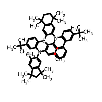 Cc1cc2c3c(c1)N(c1ccc(C(C)(C)C)cc1-c1ccccc1)c1cc4c(cc1B3c1ccc(C(C)(C)C)cc1N2c1cc2c(cc1C)C(C)(C)CC2(C)C)C(C)(C)CCC4(C)C